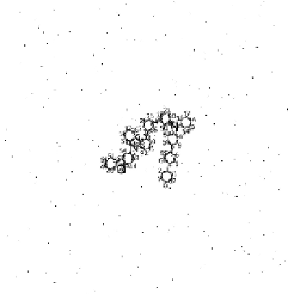 c1ccc(-c2ccc(-c3ccc(N(c4ccccc4)c4cccc(-c5cccc(-c6cccc7c6c6ccccc6n7-c6ccc7oc8ccccc8c7c6)c5)c4)cc3)cc2)cc1